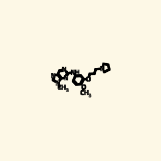 COc1ccc(Nc2ncc3ncn(C)c3n2)cc1OCCCN1CCCC1